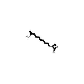 C=C(N)CCCCCCCC[C@H]1COC1=O